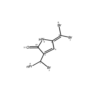 CCCC(Br)C1=CC(=C(Br)Br)NC1=O